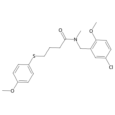 COc1ccc(SCCCC(=O)N(C)Cc2cc(Cl)ccc2OC)cc1